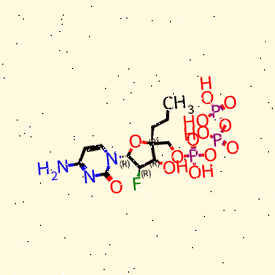 CCC[C@]1(COP(=O)(O)OP(=O)(O)OP(=O)(O)O)O[C@@H](n2ccc(N)nc2=O)[C@H](F)[C@@H]1O